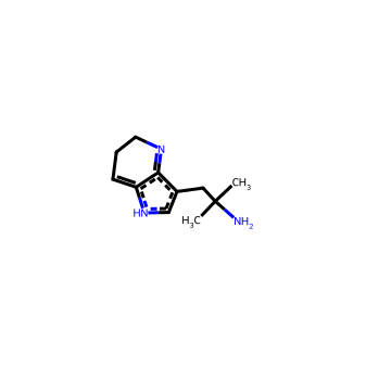 CC(C)(N)Cc1c[nH]c2c1=NCCC=2